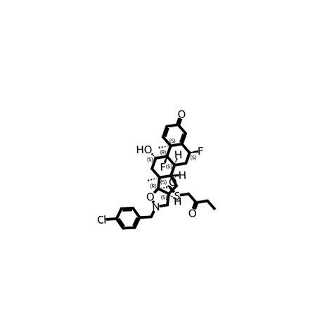 CCC(=O)CSC(=O)[C@@]12ON(Cc3ccc(Cl)cc3)C[C@@H]1C[C@H]1[C@@H]3C[C@H](F)C4=CC(=O)C=C[C@]4(C)[C@@]3(F)[C@@H](O)C[C@@]12C